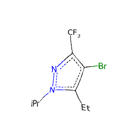 CCc1c(Br)c(C(F)(F)F)nn1C(C)C